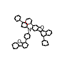 C1=CCCC(c2cc3oc4c5ccccc5c(-c5ccccc5)cc4c3cc2N(c2ccc(-c3ccccc3)cc2)c2ccc(-c3cccc4c3oc3ccccc34)cc2)=C1